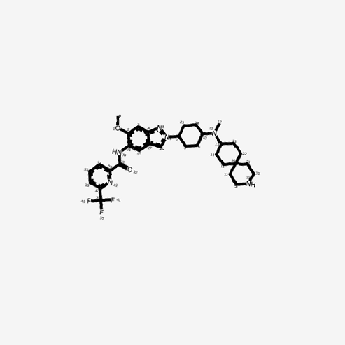 COc1cc2nn(C3CCC(N(C)C4CCC5(CCNCC5)CC4)CC3)cc2cc1NC(=O)c1cccc(C(F)(F)F)n1